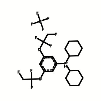 FCC(F)(F)Oc1cc(OC(F)(F)CF)cc([PH+](C2CCCCC2)C2CCCCC2)c1.F[B-](F)(F)F